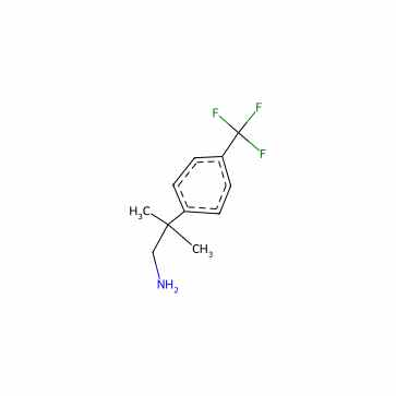 CC(C)(CN)c1ccc(C(F)(F)F)cc1